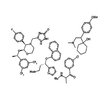 CC(NC(C)(C)C)C(=O)c1cccc(Cl)c1.CNCC[C@H](Oc1cccc2ccccc12)c1cccs1.COc1ccc(C(CN(C)C)C2(O)CCCCC2)cc1.C[C@@H](O[C@@H]1OCCN(Cc2nc(=O)[nH][nH]2)[C@@H]1c1ccc(F)cc1)c1cc(C(F)(F)F)cc(C(F)(F)F)c1